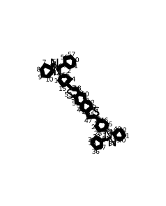 c1ccc(-c2nc3ccccc3n2-c2ccc(-c3cc4cc5cc6sc(-c7ccc(-n8c(-c9ccccc9)nc9ccccc98)cc7)cc6cc5cc4s3)cc2)cc1